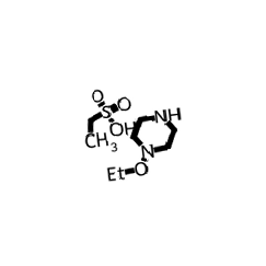 CCON1CCNCC1.CCS(=O)(=O)O